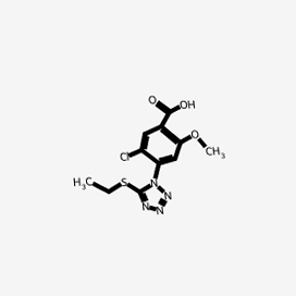 CCSc1nnnn1-c1cc(OC)c(C(=O)O)cc1Cl